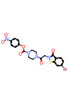 O=C(Cn1sc2cc(Br)ccc2c1=O)N1CCN(C(=O)Oc2ccc([N+](=O)[O-])cc2)CC1